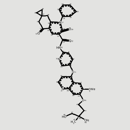 COc1cc2c(Oc3ccc(NC(=O)c4cc5c(n(-c6ccccc6)c4=O)CC4(CC4)CC5=O)nc3)ccnc2cc1OCC[C@](C)(O)CO